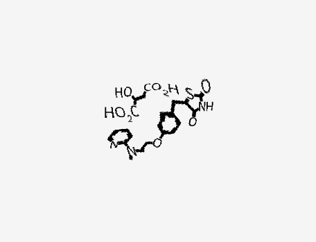 CN(CCOc1ccc(CC2SC(=O)NC2=O)cc1)c1ccccn1.O=C(O)CC(O)C(=O)O